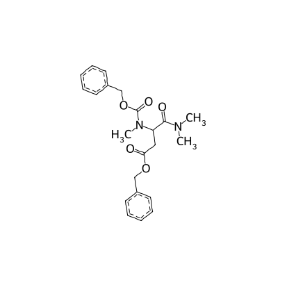 CN(C)C(=O)C(CC(=O)OCc1ccccc1)N(C)C(=O)OCc1ccccc1